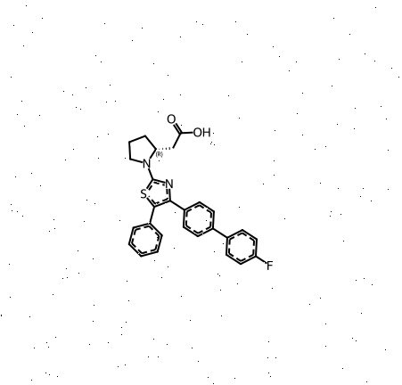 O=C(O)C[C@H]1CCCN1c1nc(-c2ccc(-c3ccc(F)cc3)cc2)c(-c2ccccc2)s1